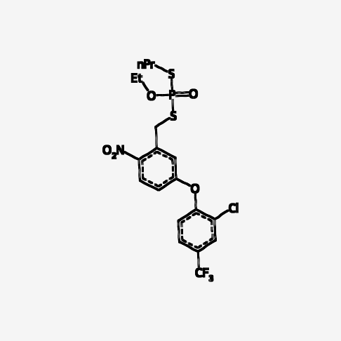 CCCSP(=O)(OCC)SCc1cc(Oc2ccc(C(F)(F)F)cc2Cl)ccc1[N+](=O)[O-]